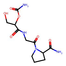 NC(=O)OC(CO)C(=O)NCC(=O)N1CCCC1C(N)=O